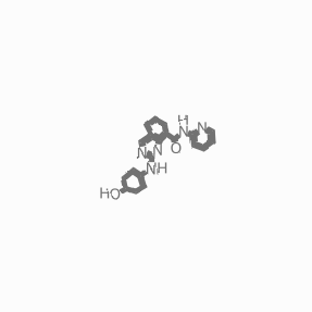 O=C(Nc1ccccn1)c1cccc2cnc(NC3CCC(O)CC3)nc12